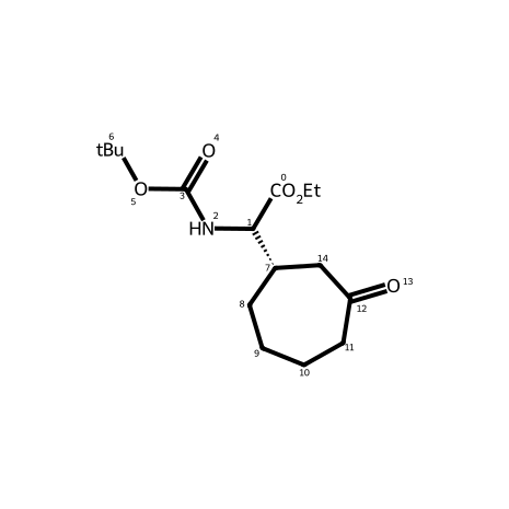 CCOC(=O)C(NC(=O)OC(C)(C)C)[C@H]1CCCCC(=O)C1